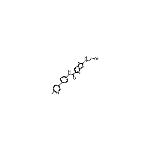 Cc1ccc(-c2ccc(NC(=O)c3cc4sc(NCCO)nc4s3)cc2)cn1